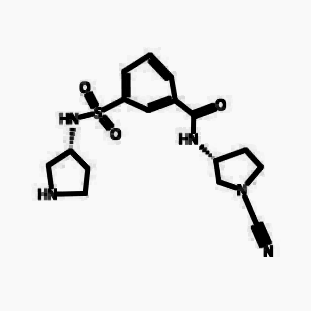 N#CN1CC[C@@H](NC(=O)c2cccc(S(=O)(=O)N[C@@H]3CCNC3)c2)C1